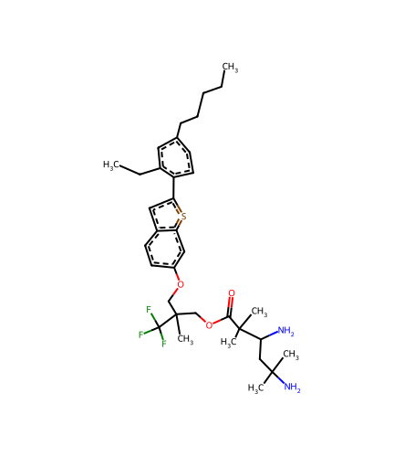 CCCCCc1ccc(-c2cc3ccc(OCC(C)(COC(=O)C(C)(C)C(N)CC(C)(C)N)C(F)(F)F)cc3s2)c(CC)c1